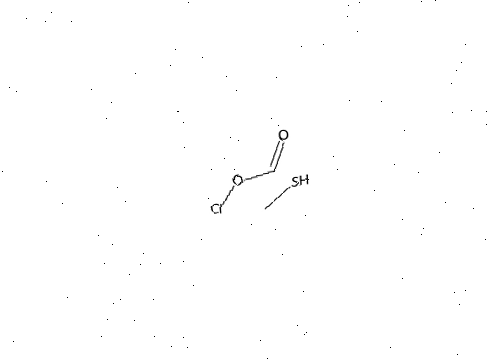 CS.O=COCl